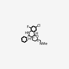 CNC[C@H]1CC[C@@H]2[C@H](O1)c1cc(Cl)cc(F)c1N[C@H]2c1ccccc1